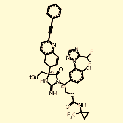 CC(C)(C)C[C@]1(C2C=Cc3nc(C#Cc4ccccc4)ccc3C2)NC(=N)N([C@H](COC(=O)NC2(C(F)(F)F)CC2)c2ccc(Cl)c(-n3ncnc3C(F)F)c2)C1=O